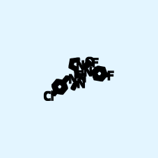 Cc1nnc(C2CCCN2C(=O)Nc2ccc(F)cc2F)n1Cc1ccc(Cl)cc1